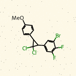 COc1ccc(C2C(c3cc(F)c(F)c(Br)c3)C2(Cl)Cl)cc1